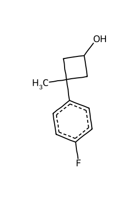 CC1(c2ccc(F)cc2)CC(O)C1